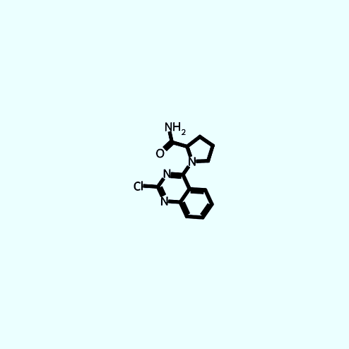 NC(=O)C1CCCN1c1nc(Cl)nc2ccccc12